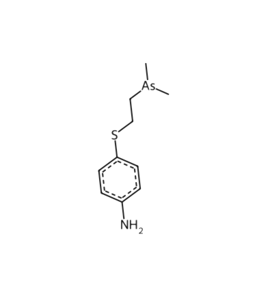 C[As](C)CCSc1ccc(N)cc1